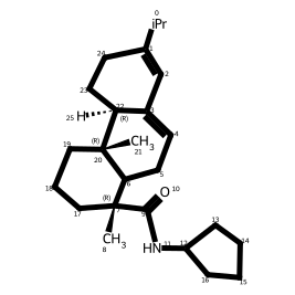 CC(C)C1=CC2=CCC3[C@](C)(C(=O)NC4CCCC4)CCC[C@]3(C)[C@H]2CC1